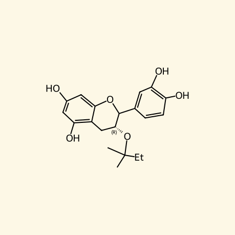 CCC(C)(C)O[C@@H]1Cc2c(O)cc(O)cc2OC1c1ccc(O)c(O)c1